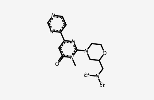 CCN(CC)CC1CN(c2nc(-c3ccncn3)cc(=O)n2C)CCO1